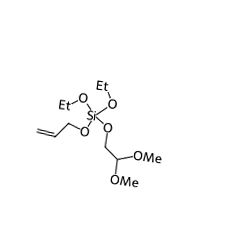 C=CCO[Si](OCC)(OCC)OCC(OC)OC